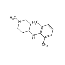 Cc1cccc(C)c1NC1CCN(C)CC1